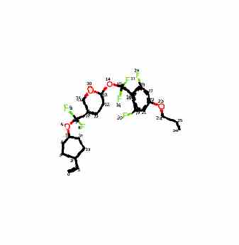 C=CC1CCC(OC(F)(F)C2CCC(OC(F)(F)c3c(F)cc(OCCC)cc3F)OC2)CC1